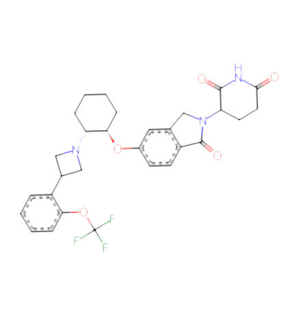 O=C1CCC(N2Cc3cc(O[C@@H]4CCCC[C@H]4N4CC(c5ccccc5OC(F)(F)F)C4)ccc3C2=O)C(=O)N1